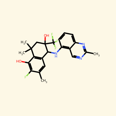 Cc1ncc2c(NC3c4cc(C)c(F)c(O)c4C(C)(C)CC3(O)C(F)(F)F)cccc2n1